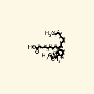 CC/C=C\C/C=C\C/C=C\CCCCCCCC(=O)O.C[N+](C)(C)Cc1ccccc1